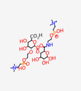 C[N+](C)(C)CCP(=O)(O)OCCNC(=O)C1O[C@@H](O)[C@H](O)C(O)[C@@H]1OO[C@@H]1OC(C(=O)O)[C@@H](O)C(O)[C@H]1OCCOP(=O)(O)CC[N+](C)(C)C